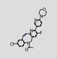 CC(=O)N1Cc2cc(F)c(-c3ccc(N4CCOCC4)nc3)nc2/C=C\c2cc(Cl)ccc21